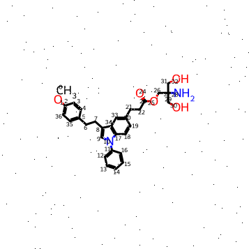 COc1ccc(CCc2cn(-c3ccccc3)c3ccc(CCC(=O)OCC(N)(CO)CO)cc23)cc1